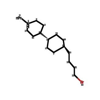 CCC[SiH]1CCC([C@H]2CC[C@H](CCCCBr)CC2)CC1